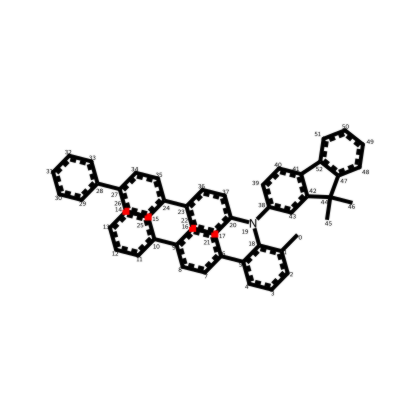 Cc1cccc(-c2ccc(-c3ccccc3)cc2)c1N(c1ccc(-c2ccc(-c3ccccc3)cc2)cc1)c1ccc2c(c1)C(C)(C)c1ccccc1-2